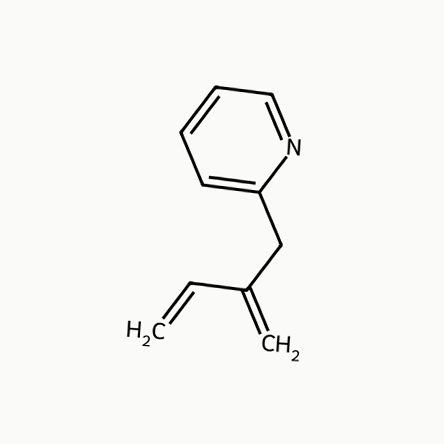 C=CC(=C)Cc1ccccn1